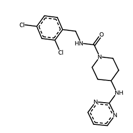 O=C(NCc1ccc(Cl)cc1Cl)N1CCC(Nc2ncccn2)CC1